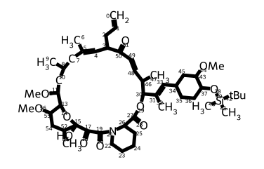 C=CCC1/C=C(\C)CC(C)CC(OC)C2OC(O)(C(=O)C(=O)N3CCCCC3C(=O)OC(C(C)=CC3CCC(O[Si](C)(C)C(C)(C)C)C(OC)C3)C(C)/C=C/C1=O)C(C)CC2OC